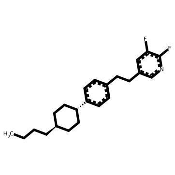 CCCC[C@H]1CC[C@H](c2ccc(CCc3cnc(F)c(F)c3)cc2)CC1